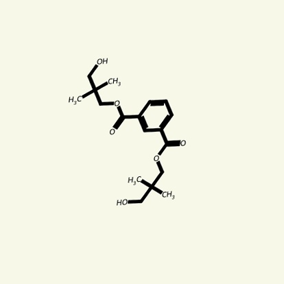 CC(C)(CO)COC(=O)c1cccc(C(=O)OCC(C)(C)CO)c1